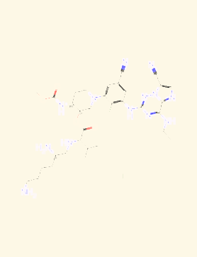 CCNc1nc(Nc2cc(C#N)cc(N3CC[C@@H](NC(=O)OC)[C@H](OC(=O)C(NC[C@H](N)CCCCN)C(C)C)C3)c2Cl)nn2c(C#N)cnc12.Cl.Cl